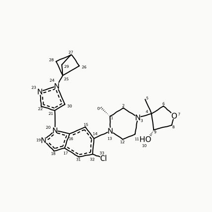 C[C@@H]1CN(C2(C)COC[C@@H]2O)CCN1c1cc2c(cnn2-c2cnn(C34CC(C3)C4)c2)cc1Cl